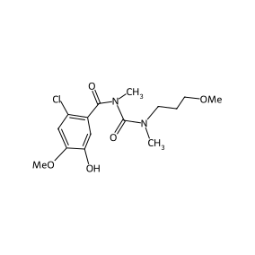 COCCCN(C)C(=O)N(C)C(=O)c1cc(O)c(OC)cc1Cl